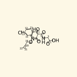 O=C(O)CNC(=O)c1c(O)c2ccc(Cl)cc2n(OCC2CC2)c1=O